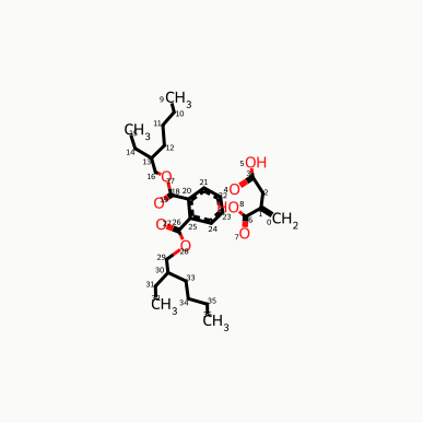 C=C(CC(=O)O)C(=O)O.CCCCC(CC)COC(=O)c1ccccc1C(=O)OCC(CC)CCCC